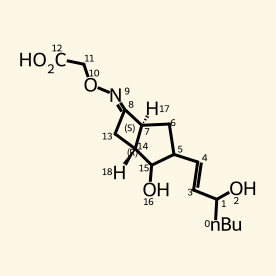 CCCCC(O)C=CC1C[C@@H]2C(=NOCC(=O)O)C[C@H]2C1O